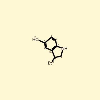 CCC1CNc2ccc(O)cc21